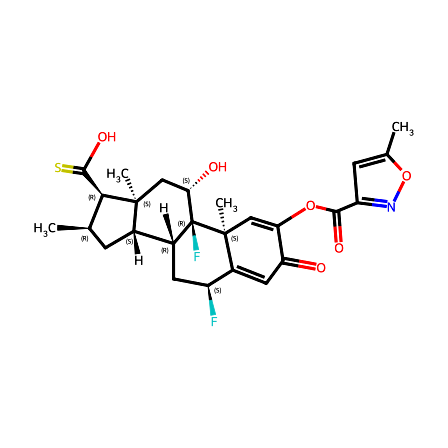 Cc1cc(C(=O)OC2=C[C@@]3(C)C(=CC2=O)[C@@H](F)C[C@@H]2[C@@H]4C[C@@H](C)[C@@H](C(O)=S)[C@@]4(C)C[C@H](O)[C@@]23F)no1